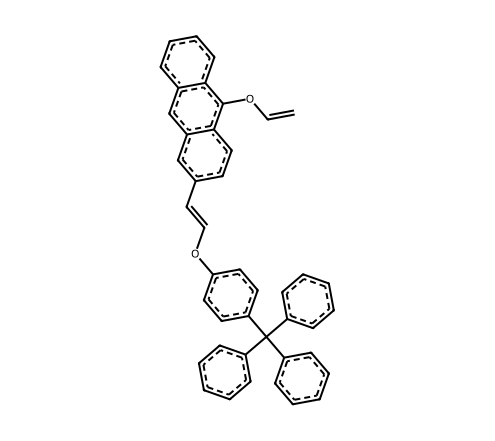 C=COc1c2ccccc2cc2cc(/C=C/Oc3ccc(C(c4ccccc4)(c4ccccc4)c4ccccc4)cc3)ccc12